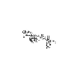 CC(NC/C=C/C(=O)N1CCc2c(sc3ncnc(Nc4ccc(Cl)c(Cl)c4)c23)C1)C1CCCCC1